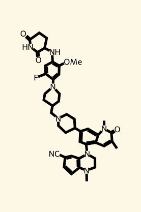 COc1cc(N2CCC(CN3CCC(c4cc(N5CCN(C)c6ccc(C#N)cc65)c5cc(C)c(=O)n(C)c5c4)CC3)CC2)c(F)cc1NC1CCC(=O)NC1=O